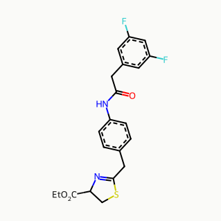 CCOC(=O)C1CSC(Cc2ccc(NC(=O)Cc3cc(F)cc(F)c3)cc2)=N1